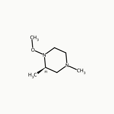 CON1CCN(C)C[C@H]1C